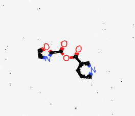 O=C(OC(=O)c1ncco1)c1cccnc1